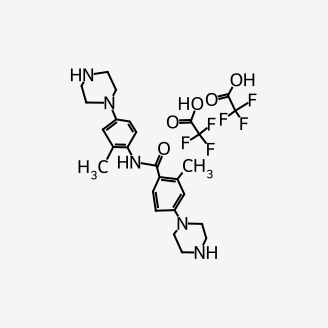 Cc1cc(N2CCNCC2)ccc1NC(=O)c1ccc(N2CCNCC2)cc1C.O=C(O)C(F)(F)F.O=C(O)C(F)(F)F